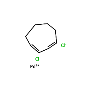 C1=C\CCCC\C=C/1.[Cl-].[Cl-].[Pd+2]